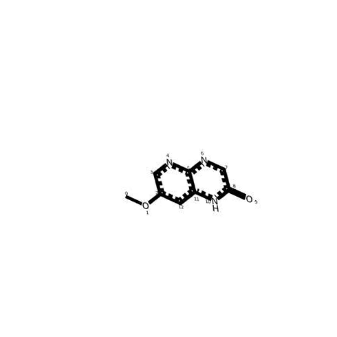 COc1cnc2ncc(=O)[nH]c2c1